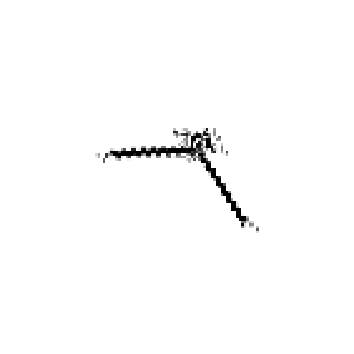 C=CC[N+](C)(C)CC=C.CCCCCCCCCCCCCCCCCC[N+](C)(C)CCCCCCCCCCCCCCCCCC.Cl